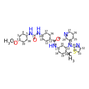 COc1ccc(NC(=O)Nc2ccc(C(=O)Nc3ccc(C)c(N(c4cccnc4)c4nccs4)c3)cc2)cc1